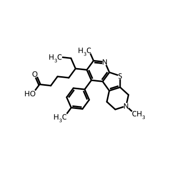 CCC(CCCC(=O)O)c1c(C)nc2sc3c(c2c1-c1ccc(C)cc1)CCN(C)C3